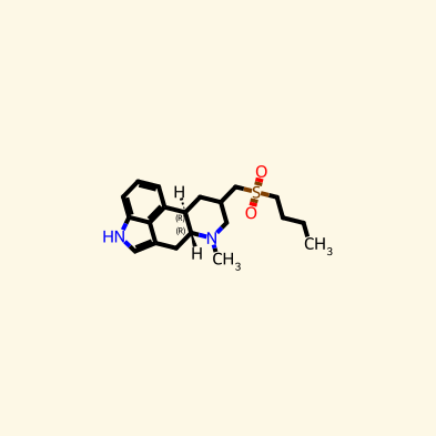 CCCCS(=O)(=O)CC1C[C@@H]2c3cccc4[nH]cc(c34)C[C@H]2N(C)C1